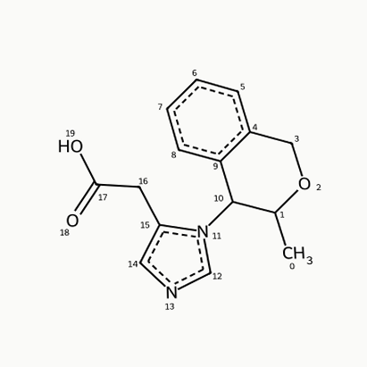 CC1OCc2ccccc2C1n1cncc1CC(=O)O